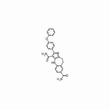 NC(=O)c1ccc2c(c1)CCn1nc(-c3ccc(Oc4ccccc4)cc3)c(C(N)=O)c1N2